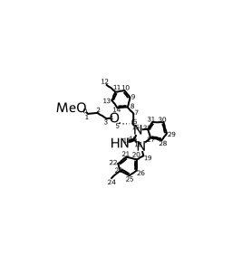 COCCCOC[C@H](Cc1ccc(C)cc1)n1c(=N)n(Cc2ccc(C)cc2)c2ccccc21